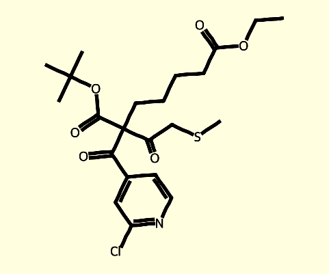 CCOC(=O)CCCCC(C(=O)CSC)(C(=O)OC(C)(C)C)C(=O)c1ccnc(Cl)c1